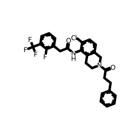 O=C(Cc1cccc(C(F)(F)F)c1F)Nc1c(Cl)ccc2c1CCN(C(=O)CCc1ccccc1)C2